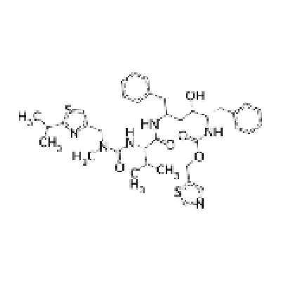 CC(C)c1nc(CN(C)C(=O)N[C@H](C(=O)NC(Cc2ccccc2)C[C@H](O)[C@H](Cc2ccccc2)NC(=O)OCc2cncs2)C(C)C)cs1